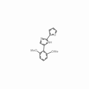 COc1cccc(OC)c1-c1cnc(-c2ccco2)[nH]1